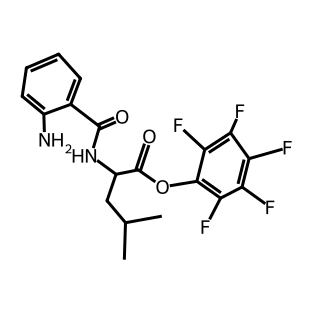 CC(C)CC(NC(=O)c1ccccc1N)C(=O)Oc1c(F)c(F)c(F)c(F)c1F